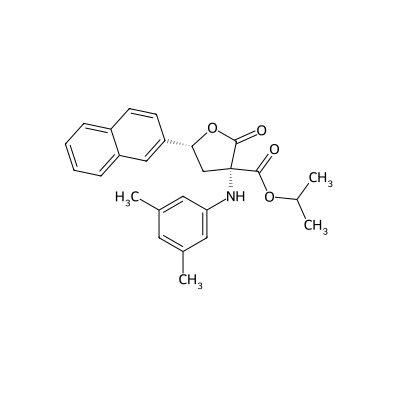 Cc1cc(C)cc(N[C@]2(C(=O)OC(C)C)C[C@H](c3ccc4ccccc4c3)OC2=O)c1